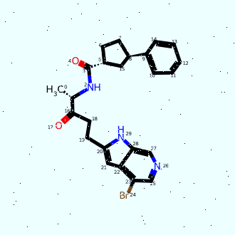 C[C@H](NC(=O)[C@@H]1CC[C@@H](c2ccccc2)C1)C(=O)CCc1cc2c(Br)cncc2[nH]1